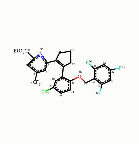 CCOC(=O)c1cc(C(F)(F)F)cc(C2=C(c3cc(Cl)ccc3OCc3c(F)cc(F)cc3F)CCC2)n1